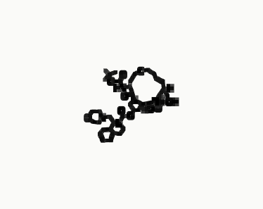 CC(C)(C)OC(=O)N[C@H]1CCCCC/C=C/[C@@H]2C[C@@]2(C(=O)O)NC(=O)[C@@H]2C[C@@H](OC(=O)N3CCc4ccccc4C3CN3CCOCC3)CN2C1=O